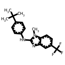 Cn1c(Nc2ccc(C(C)(C)C)cc2)nc2cc(C(F)(F)F)ccc21